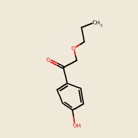 CCCOCC(=O)c1ccc(O)cc1